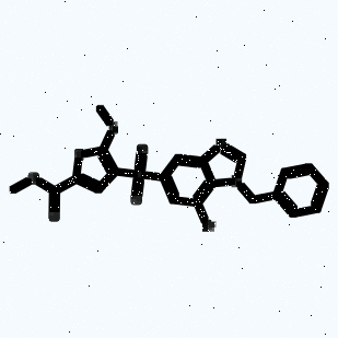 COC(=O)c1cc(S(=O)(=O)c2cc(Br)c3c(c2)ncn3Cc2ccccc2)c(SC)s1